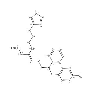 CCOC(=O)NC(=NCCN(Cc1ccc(Cl)cc1)c1ccccn1)NCCCc1c[nH]cn1